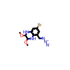 COC1Nc2cc(Br)cc(CN=[N+]=[N-])c2NC1OC